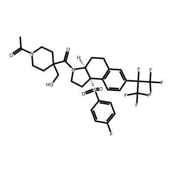 CC(=O)N1CCC(CO)(C(=O)N2CC[C@]3(S(=O)(=O)c4ccc(F)cc4)c4ccc(C(F)(C(F)(F)F)C(F)(F)F)cc4CC[C@H]23)CC1